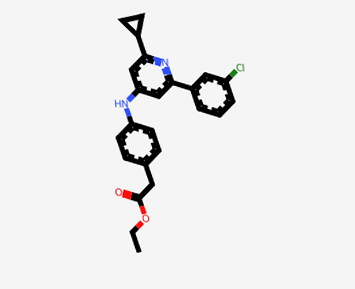 CCOC(=O)Cc1ccc(Nc2cc(-c3cccc(Cl)c3)nc(C3CC3)c2)cc1